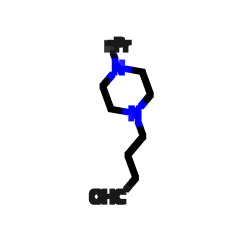 CCCN1CCN(CCCC=O)CC1